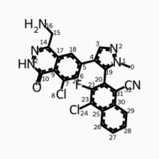 Cn1ncc(-c2cc(Cl)c3c(=O)[nH]nc(CN)c3c2)c1-c1c(F)c(Cl)c2ccccc2c1C#N